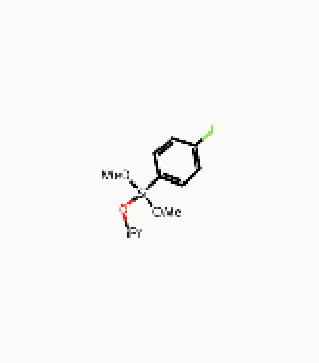 CO[Si](OC)(OC(C)C)c1ccc(F)cc1